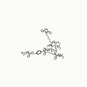 C=NC(=O)OCc1ccc(NC(=O)[C@H](CCCNC(N)=O)NC(=O)[C@@H](NC(=O)CCCCCN2C(=O)C=CC2=O)C(C)C)cc1